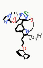 Cn1ccnc1COCc1nn(Cl)c2c1-c1cccc3c(CCCOc4cccc5ccccc45)c(C(=O)O)n(c13)CCCCOC2